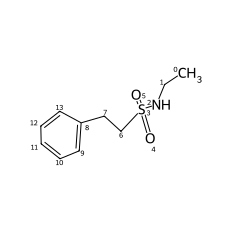 CCNS(=O)(=O)CCc1ccccc1